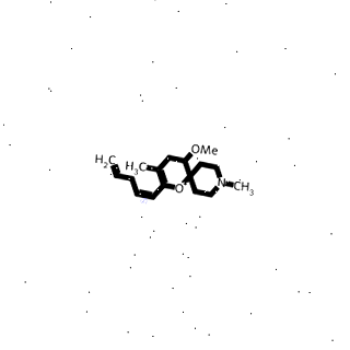 C=CC/C=C\C1=C(C)CC(OC)C2(CCN(C)CC2)O1